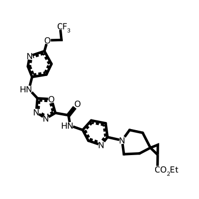 CCOC(=O)C1CC12CCN(c1ccc(NC(=O)c3nnc(Nc4ccc(OCC(F)(F)F)nc4)o3)cn1)CC2